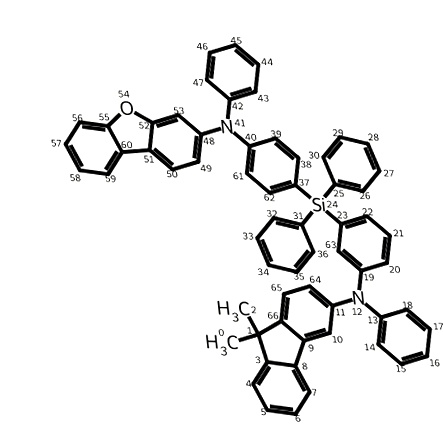 CC1(C)c2ccccc2-c2cc(N(c3ccccc3)c3cccc([Si](c4ccccc4)(c4ccccc4)c4ccc(N(c5ccccc5)c5ccc6c(c5)oc5ccccc56)cc4)c3)ccc21